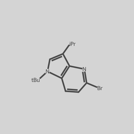 CC(C)c1cn(C(C)(C)C)c2ccc(Br)nc12